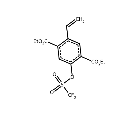 C=Cc1cc(C(=O)OCC)c(OS(=O)(=O)C(F)(F)F)cc1C(=O)OCC